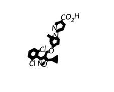 CC1C2CC(CC2OCc2c(-c3c(Cl)cccc3Cl)noc2C2CC2)N1C1=CCC(C(=O)O)C=N1